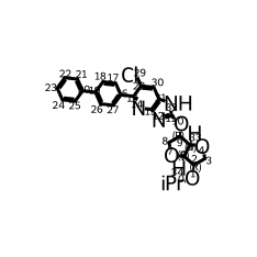 CC(C)O[C@@H]1CO[C@H]2[C@@H]1OC[C@H]2Oc1nc2nc(-c3ccc(-c4ccccc4)cc3)c(Cl)cc2[nH]1